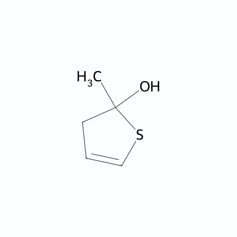 CC1(O)CC=CS1